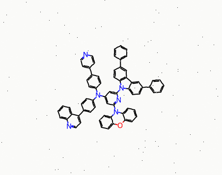 c1ccc(-c2ccc3c(c2)c2cc(-c4ccccc4)ccc2n3-c2cc(N(c3ccc(-c4ccncc4)cc3)c3ccc(-c4ccnc5ccccc45)cc3)cc(N3c4ccccc4Oc4ccccc43)n2)cc1